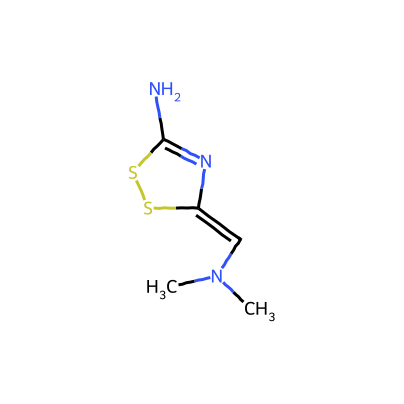 CN(C)C=C1N=C(N)SS1